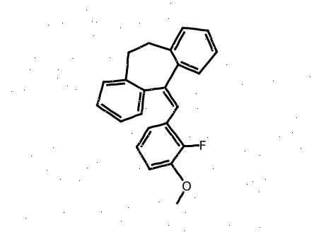 COc1cccc(C=C2c3ccccc3CCc3ccccc32)c1F